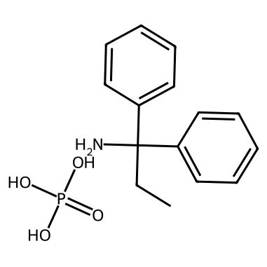 CCC(N)(c1ccccc1)c1ccccc1.O=P(O)(O)O